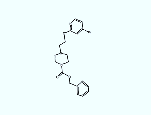 O=C(OCc1ccccc1)N1CCN(CCOc2cc(Br)ccn2)CC1